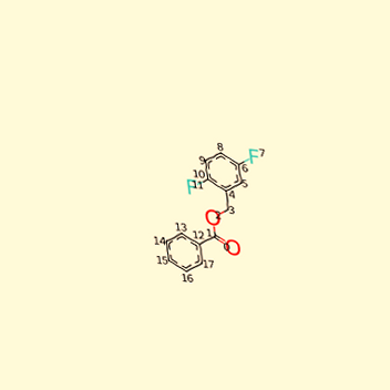 O=C(OCc1cc(F)ccc1F)c1ccccc1